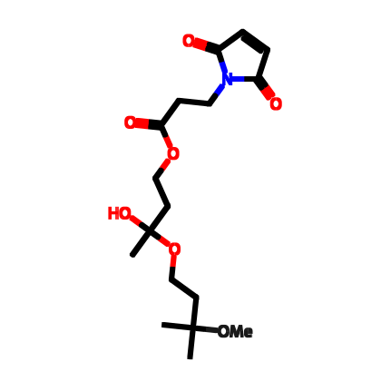 COC(C)(C)CCOC(C)(O)CCOC(=O)CCN1C(=O)C=CC1=O